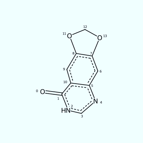 O=c1[nH]cnc2cc3c(cc12)OCO3